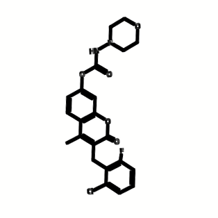 Cc1c(Cc2c(F)cccc2Cl)c(=O)oc2cc(OC(=O)NN3CCOCC3)ccc12